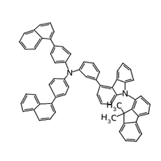 CC1(C)c2ccccc2-c2cccc(-n3c4ccccc4c4c(-c5cccc(N(c6ccc(-c7cccc8ccccc78)cc6)c6ccc(-c7cccc8ccccc78)cc6)c5)cccc43)c21